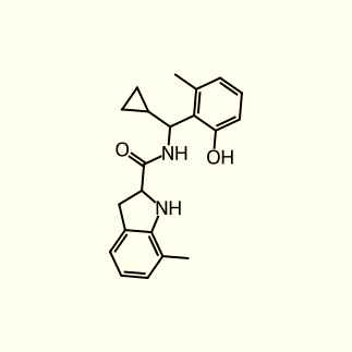 Cc1cccc2c1NC(C(=O)NC(c1c(C)cccc1O)C1CC1)C2